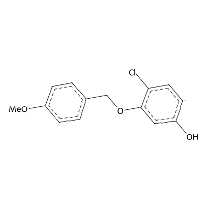 COc1ccc(COc2cc(O)[c]cc2Cl)cc1